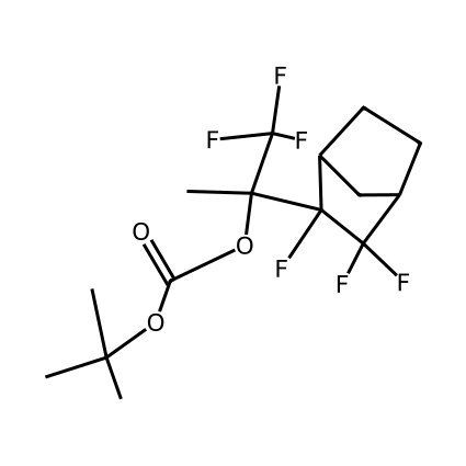 CC(C)(C)OC(=O)OC(C)(C(F)(F)F)C1(F)C2CCC(C2)C1(F)F